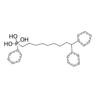 OP(O)(O)(CCCCCCCCC(c1ccccc1)c1ccccc1)c1ccccc1